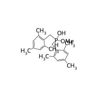 CO[PH](O)(Cc1c(C)cc(C)cc1C)Cc1c(C)cc(C)cc1C